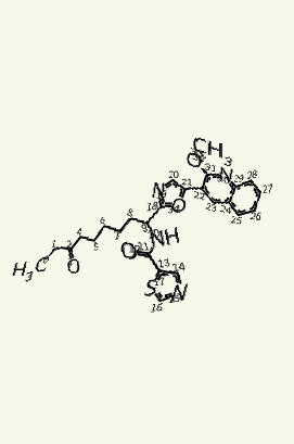 CCC(=O)CCCCCC(NC(=O)c1cncs1)c1ncc(-c2cc3ccccc3nc2OC)o1